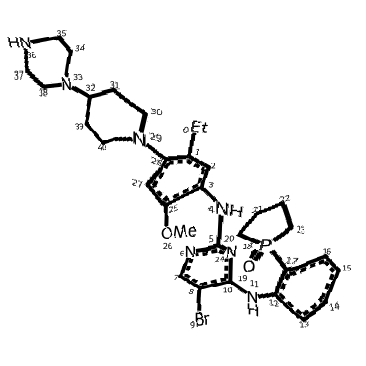 CCc1cc(Nc2ncc(Br)c(Nc3ccccc3P3(=O)CCCC3)n2)c(OC)cc1N1CCC(N2CCNCC2)CC1